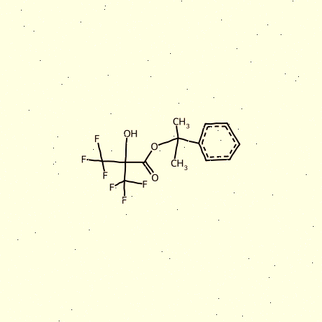 CC(C)(OC(=O)C(O)(C(F)(F)F)C(F)(F)F)c1ccccc1